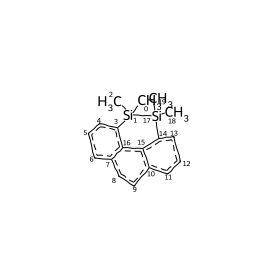 C[Si]1(C)c2cccc3ccc4cccc(c4c23)[Si]1(C)C